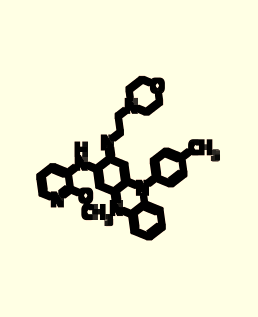 COc1ncccc1Nc1cc2nc3ccccc3n(-c3ccc(C)cc3)c-2c/c1=N\CCN1CCOCC1